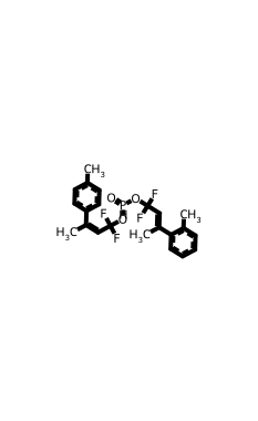 CC(=CC(F)(F)O[PH](=O)OC(F)(F)C=C(C)c1ccccc1C)c1ccc(C)cc1